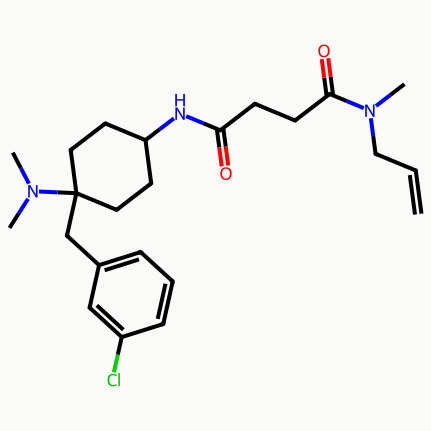 C=CCN(C)C(=O)CCC(=O)NC1CCC(Cc2cccc(Cl)c2)(N(C)C)CC1